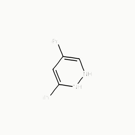 CC(C)C1=CNNC(C(C)C)=C1